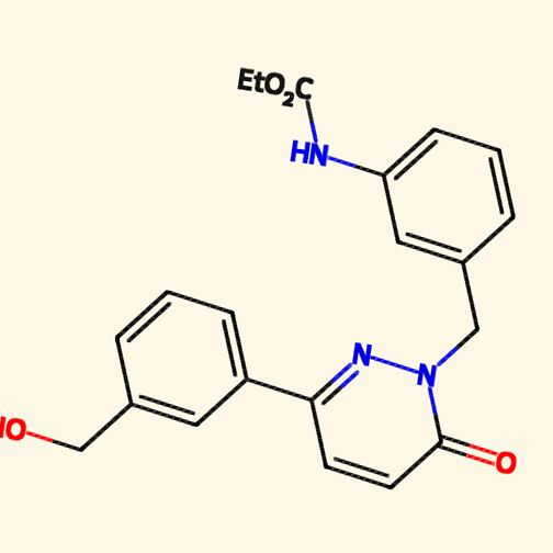 CCOC(=O)Nc1cccc(Cn2nc(-c3cccc(CO)c3)ccc2=O)c1